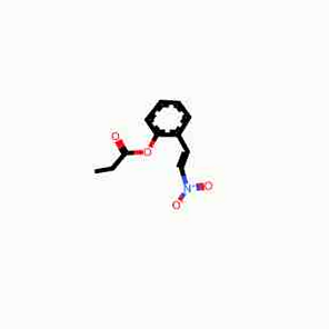 CCC(=O)Oc1ccccc1C=C[N+](=O)[O-]